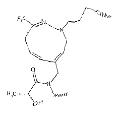 CCCC(C)N(CC1=C/CN(CCCOC)/N=C(/C(F)(F)F)C/C=C\1)C(=O)[C@@H](C)O